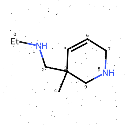 CCNCC1(C)C=CCNC1